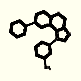 Nc1cccc(-n2cnc3cnc4ccc(-c5ccccc5)cc4c32)c1